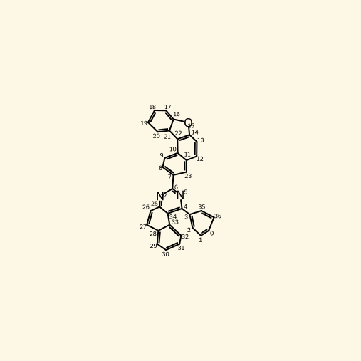 c1ccc(-c2nc(-c3ccc4c(ccc5oc6ccccc6c54)c3)nc3ccc4ccccc4c23)cc1